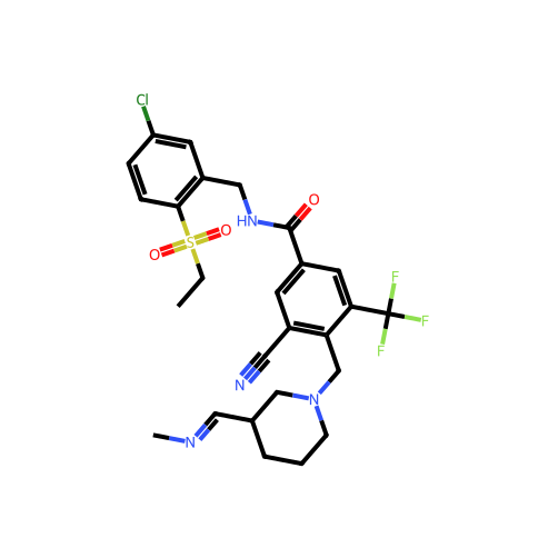 CCS(=O)(=O)c1ccc(Cl)cc1CNC(=O)c1cc(C#N)c(CN2CCCC(C=NC)C2)c(C(F)(F)F)c1